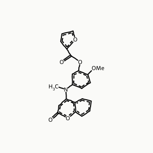 COc1ccc(N(C)c2cc(=O)oc3ccccc23)cc1OC(=O)c1ccco1